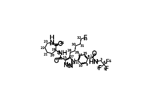 O=C(NCC(F)(F)F)c1ccc(-n2nnc(C(=O)NC3CCCCNC3=O)c2CCCCCF)cc1